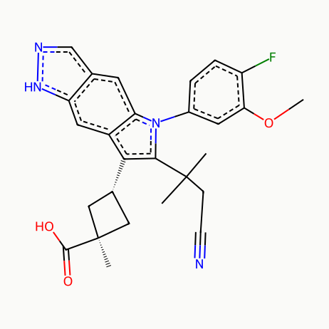 COc1cc(-n2c(C(C)(C)CC#N)c([C@H]3C[C@](C)(C(=O)O)C3)c3cc4[nH]ncc4cc32)ccc1F